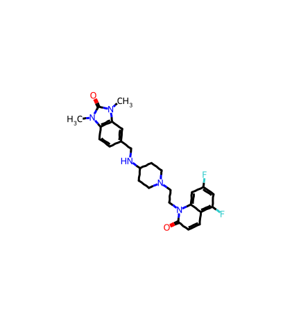 Cn1c(=O)n(C)c2cc(CNC3CCN(CCn4c(=O)ccc5c(F)cc(F)cc54)CC3)ccc21